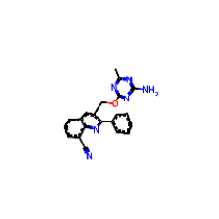 Cc1nc(N)nc(OCc2cc3cccc(C#N)c3nc2-c2ccccc2)n1